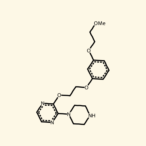 COCCOc1cccc(OCCOc2nccnc2N2CCNCC2)c1